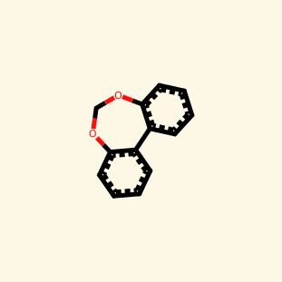 c1ccc2c(c1)OCOc1ccccc1-2